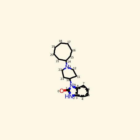 O=c1[nH]c2ccccc2n1C1CCN(C2CCCCCCC2)CC1